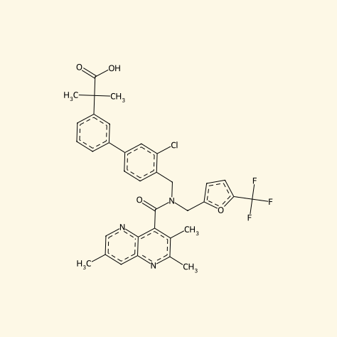 Cc1cnc2c(C(=O)N(Cc3ccc(C(F)(F)F)o3)Cc3ccc(-c4cccc(C(C)(C)C(=O)O)c4)cc3Cl)c(C)c(C)nc2c1